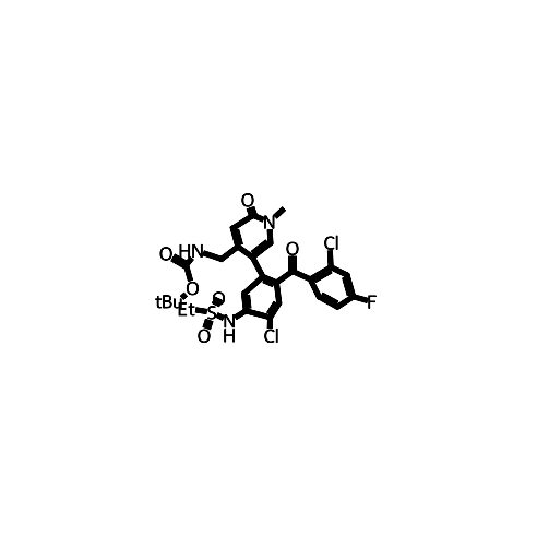 CCS(=O)(=O)Nc1cc(-c2cn(C)c(=O)cc2CNC(=O)OC(C)(C)C)c(C(=O)c2ccc(F)cc2Cl)cc1Cl